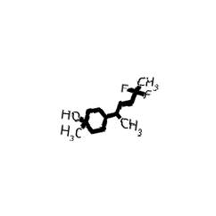 CC(/C=C/C(C)(F)F)C1CCC(C)(O)CC1